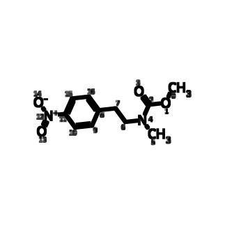 COC(=O)N(C)CCc1ccc([N+](=O)[O-])cc1